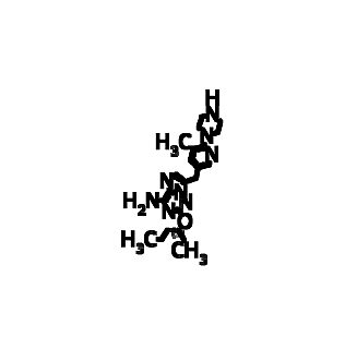 CCC[C@H](CC)Oc1nc(N)c2ncc(Cc3cnc(N4CCNCC4)c(C)c3)n2n1